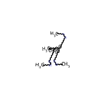 CCCCC/C=C\C/C=C\CCCCCCCCOCC(COCCCCCCC/C=C\C/C=C\CCCCC)COCC(CCCN(C)C)OCCCCCCCC/C=C\C/C=C\CCCCC